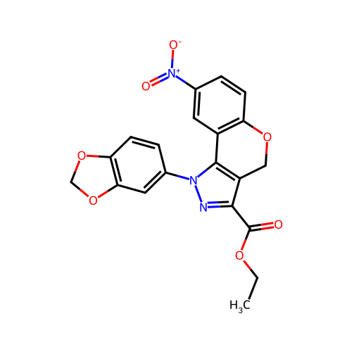 CCOC(=O)c1nn(-c2ccc3c(c2)OCO3)c2c1COc1ccc([N+](=O)[O-])cc1-2